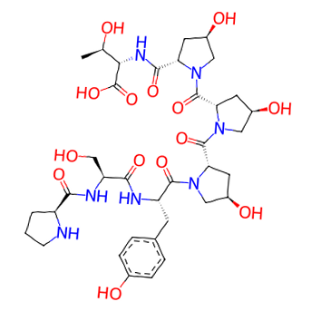 C[C@@H](O)[C@H](NC(=O)[C@@H]1C[C@@H](O)CN1C(=O)[C@@H]1C[C@@H](O)CN1C(=O)[C@@H]1C[C@@H](O)CN1C(=O)[C@H](Cc1ccc(O)cc1)NC(=O)[C@H](CO)NC(=O)[C@@H]1CCCN1)C(=O)O